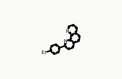 CCc1ccc(-c2ccc3ccc4cccnc4c3n2)cc1